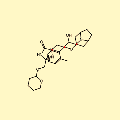 Cc1ccccc1COC1CC2CCC(C1)N2CC(O)CCn1nc(COC2CCCCO2)[nH]c1=O